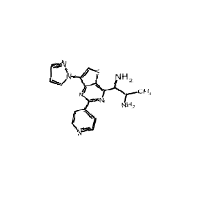 CC(N)C(N)c1nc(-c2ccncc2)nc2c(-n3cccn3)csc12